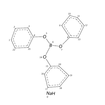 [NaH].c1ccc(OB(Oc2ccccc2)Oc2ccccc2)cc1